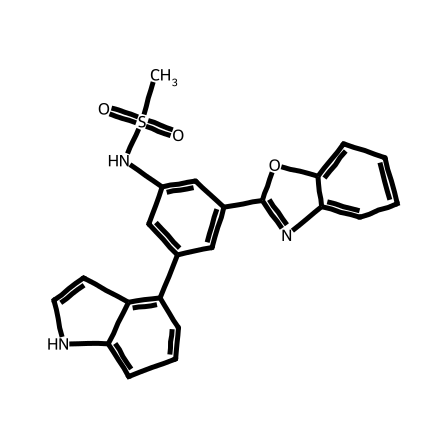 CS(=O)(=O)Nc1cc(-c2nc3ccccc3o2)cc(-c2cccc3[nH]ccc23)c1